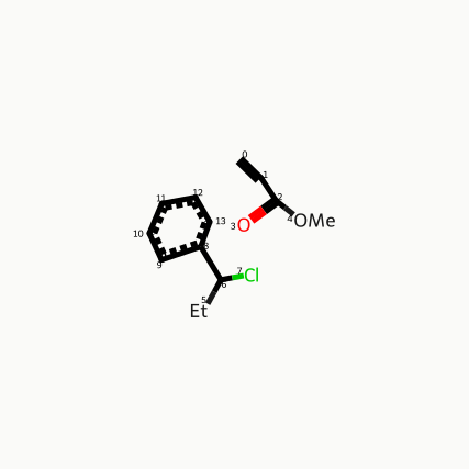 C=CC(=O)OC.CCC(Cl)c1ccccc1